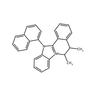 CC1c2ccccc2-c2n(-c3cccc4ccccc34)c3ccccc3[n+]2C1C